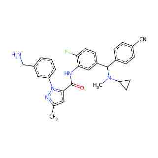 CN(C1CC1)C(c1ccc(C#N)cc1)c1ccc(F)c(NC(=O)c2cc(C(F)(F)F)nn2-c2cccc(CN)c2)c1